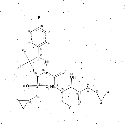 CC[C@H](NC(=O)[C@H](CS(=O)(=O)CC1CC1)N[C@@H](c1ccc(F)cc1)C(F)(F)F)C(O)C(=O)NC1CC1